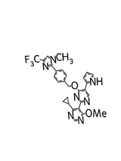 COc1ncnc(C2CC2)c1-c1ncc(-c2ccc[nH]2)c(OCc2ccc(-c3nc(C(F)(F)F)cn3C)cc2)n1